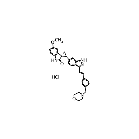 COc1ccc2c(c1)[C@]1(C[C@H]1c1ccc3c(C=Cc4ccc(CN5CCOCC5)cc4)n[nH]c3c1)C(=O)N2.Cl